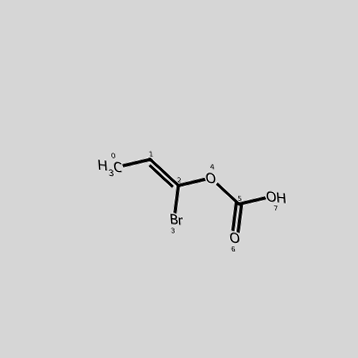 CC=C(Br)OC(=O)O